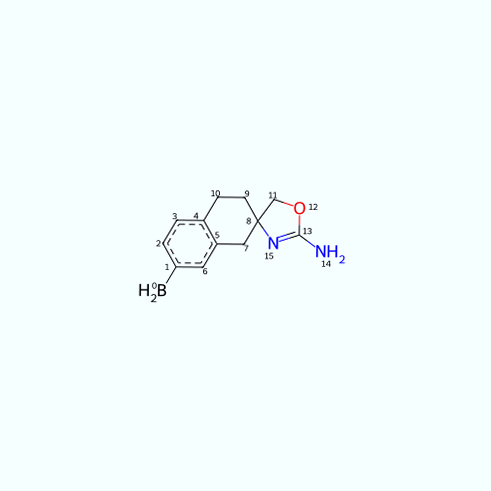 Bc1ccc2c(c1)CC1(CC2)COC(N)=N1